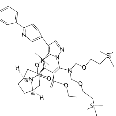 C=C(OCC)c1c([C@H]2C[C@H]3CC[C@@H](C2)N3C(=O)OC(C)(C)C)nc2c(-c3ccc(-c4ccccc4)nc3)cnn2c1N(COCC[Si](C)(C)C)COCC[Si](C)(C)C